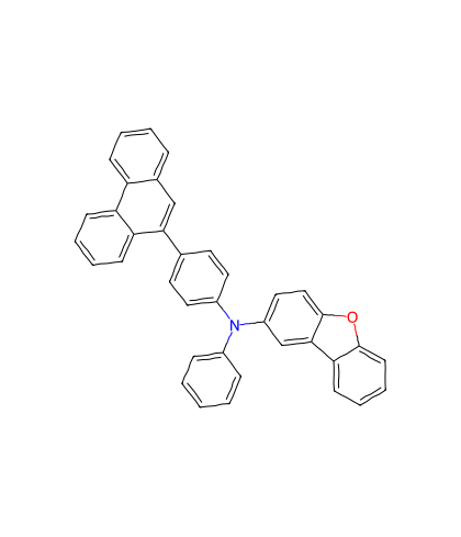 c1ccc(N(c2ccc(-c3cc4ccccc4c4ccccc34)cc2)c2ccc3oc4ccccc4c3c2)cc1